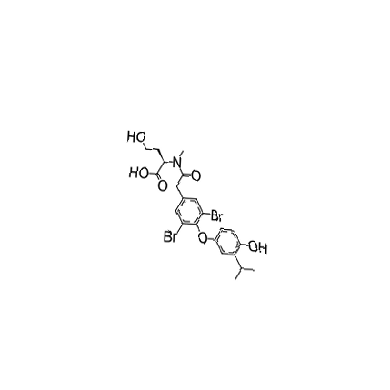 CC(C)c1cc(Oc2c(Br)cc(CC(=O)N(C)[C@H](CCO)C(=O)O)cc2Br)ccc1O